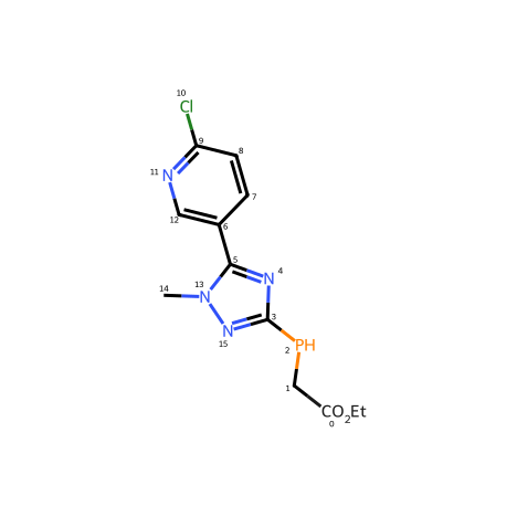 CCOC(=O)CPc1nc(-c2ccc(Cl)nc2)n(C)n1